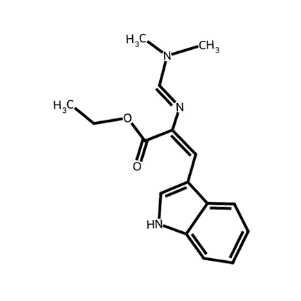 CCOC(=O)C(=C\c1c[nH]c2ccccc12)/N=C/N(C)C